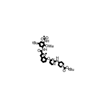 COc1c(NC(=O)c2cc3cccc(Oc4ccnc(NC5CCN(C(=O)OC(C)(C)C)CC5)n4)c3n2C)cc(C(C)(C)C)cc1NS(C)(=O)=O